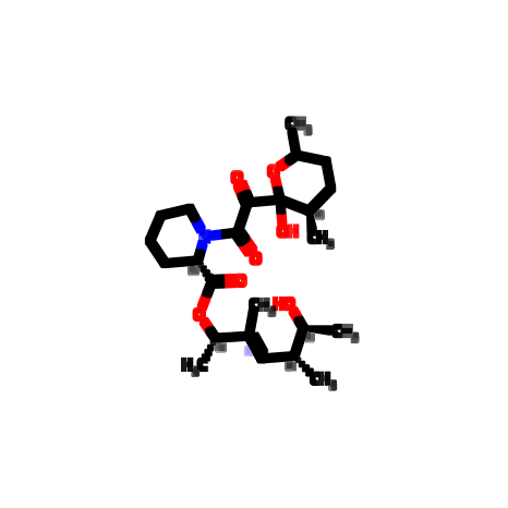 C/C(=C\[C@@H](C)[C@H](C)O)[C@H](C)OC(=O)[C@@H]1CCCCN1C(=O)C(=O)C1(O)OC(C)CC[C@H]1C